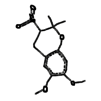 COc1cc2c(cc1OC)OC(C)(C)C([SeH](=O)=O)C2